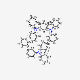 c1ccc(-c2cccc(-n3c4ccccc4c4cc(-c5cccc(-n6c7ccccc7c7cc8c9ccccc9n(-c9ccccc9)c8cc76)c5)ccc43)c2)cc1